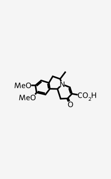 COc1cc2c(cc1OC)C1CC(=O)C(C(=O)O)=CN1C(C)C2